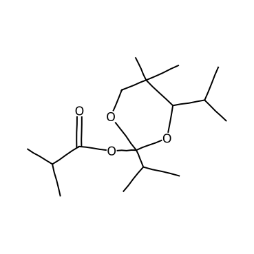 CC(C)C(=O)OC1(C(C)C)OCC(C)(C)C(C(C)C)O1